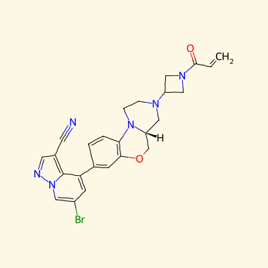 C=CC(=O)N1CC(N2CCN3c4ccc(-c5cc(Br)cn6ncc(C#N)c56)cc4OC[C@H]3C2)C1